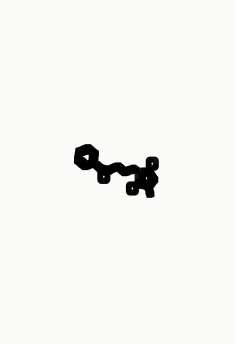 CC1=CC(=O)N(CCCC2OC2c2ccccc2)C1=O